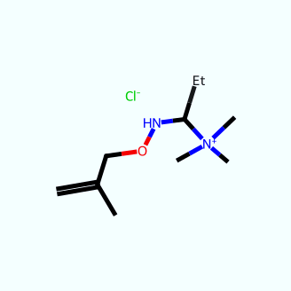 C=C(C)CONC(CC)[N+](C)(C)C.[Cl-]